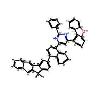 CC1(C)c2ccc(-c3ccc(-c4cc(-c5cccc6oc7ccccc7c56)nc(-c5ccccc5)n4)c4ccccc34)cc2-c2cc3ccccc3cc21